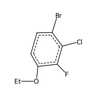 CCOc1ccc(Br)c(Cl)c1F